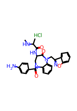 CNC(C)C(=O)NC1CN(C(=O)c2ccc(N)cc2)c2ccccc2N(Cc2noc3ccccc23)C1=O.Cl